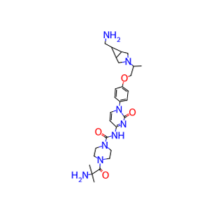 CC(COc1ccc(-n2ccc(NC(=O)N3CCN(C(=O)C(C)(C)N)CC3)nc2=O)cc1)N1CC2C(CN)C2C1